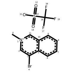 C[n+]1cc(Br)c2ccccc2c1.O=S(=O)([O-])C(F)(F)F